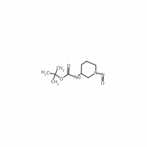 CC(C)(C)OC(=O)N[C@H]1CCCN(N=O)C1